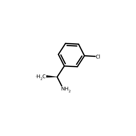 [CH2][C@H](N)c1cccc(Cl)c1